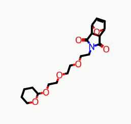 O=C1C2C3C=CC(O3)C2C(=O)N1CCOCCOCCOC1CCCCO1